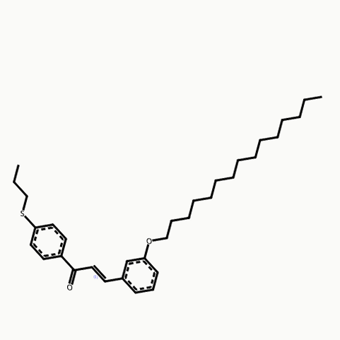 CCCCCCCCCCCCCCCOc1cccc(/C=C/C(=O)c2ccc(SCCC)cc2)c1